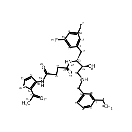 CCc1cccc(CNC[C@H](O)[C@H](Cc2cc(F)cc(F)c2)NC(=O)CCC(=O)Nc2ccsc2C(C)=O)c1